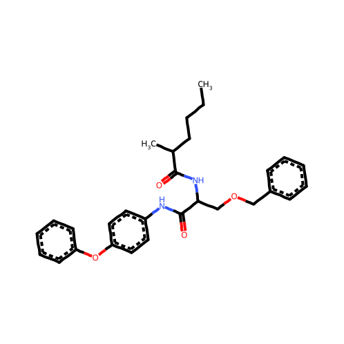 CCCCC(C)C(=O)NC(COCc1ccccc1)C(=O)Nc1ccc(Oc2ccccc2)cc1